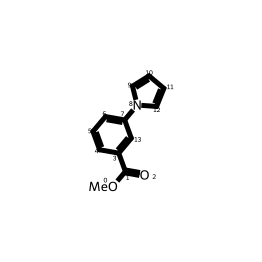 COC(=O)c1cccc(-n2cccc2)c1